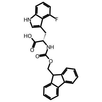 O=C(N[C@@H](Cc1c[nH]c2cccc(F)c12)C(=O)O)OCC1c2ccccc2-c2ccccc21